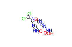 CC(=O)NCC1CCN(Cc2cc(Oc3ccc(N4CCN(CCNC(=O)O)CC4)nc3)nc(-c3cc(Cl)cc(Cl)c3)c2)CC1